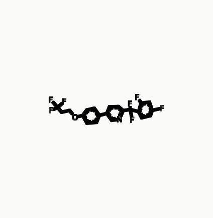 Fc1ccc(C(F)(F)c2ccc(-c3ccc(OCCC(F)(F)F)cc3)cn2)c(F)c1